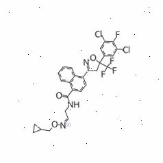 O=C(NC/C=N\OCC1CC1)c1ccc(C2=NOC(c3cc(Cl)c(F)c(Cl)c3)(C(F)(F)F)C2)c2ccccc12